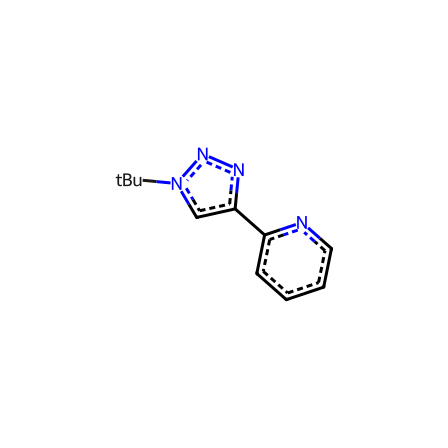 CC(C)(C)n1cc(-c2ccccn2)nn1